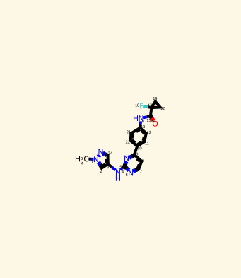 Cn1cc(Nc2nccc(-c3ccc(NC(=O)C4(F)CC4)cc3)n2)cn1